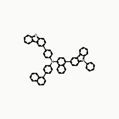 c1ccc(-n2c3ccccc3c3cc(-c4ccc(N(c5ccc(-c6ccc7oc8ccccc8c7c6)cc5)c5ccc(-c6cccc7ccccc67)cc5)c5ccccc45)ccc32)cc1